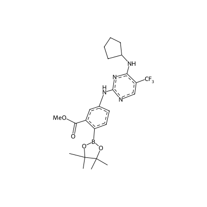 COC(=O)c1cc(Nc2ncc(C(F)(F)F)c(NC3CCCC3)n2)ccc1B1OC(C)(C)C(C)(C)O1